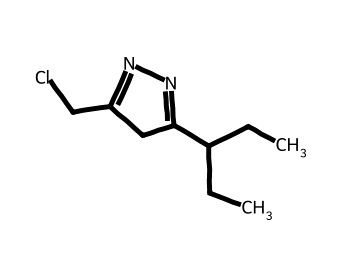 CCC(CC)C1=NN=C(CCl)C1